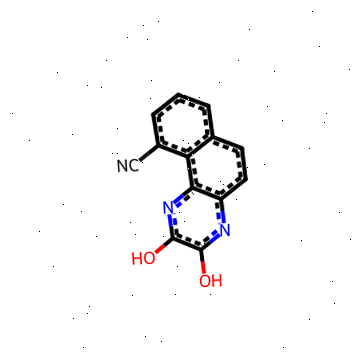 N#Cc1cccc2ccc3nc(O)c(O)nc3c12